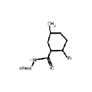 CCCCCNC(=O)C1CC(C)CCC1C(C)C